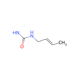 C/C=C/CNC([NH])=O